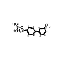 OC(O)O[SiH2]c1ccc(-c2cccc(C(F)(F)F)c2)cc1